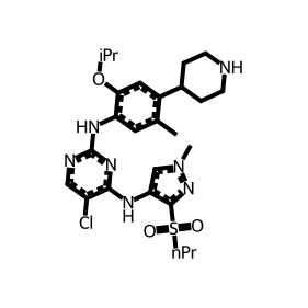 CCCS(=O)(=O)c1nn(C)cc1Nc1nc(Nc2cc(C)c(C3CCNCC3)cc2OC(C)C)ncc1Cl